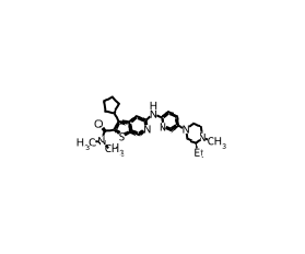 CC[C@H]1CN(c2ccc(Nc3cc4c(C5CCCC5)c(C(=O)N(C)C)sc4cn3)nc2)CCN1C